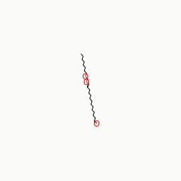 CCCCCCCCOCOC=CCCCCCCCCCCCC=O